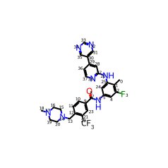 Cc1c(F)cc(NC(=O)c2ccc(CN3CCN(C)CC3)c(C(F)(F)F)c2)cc1Nc1cc(-c2cncnc2)ccn1